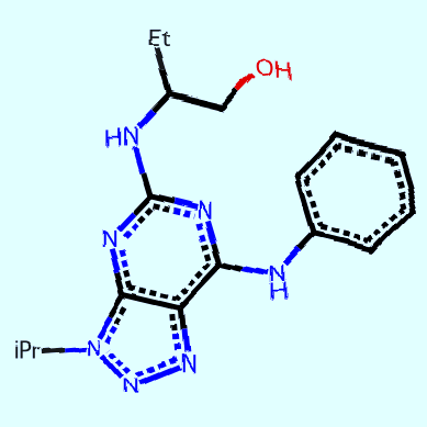 CCC(CO)Nc1nc(Nc2ccccc2)c2nnn(C(C)C)c2n1